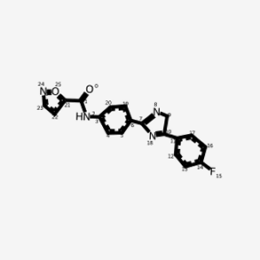 O=C(Nc1ccc(C2=NCC(c3ccc(F)cc3)=N2)cc1)c1ccno1